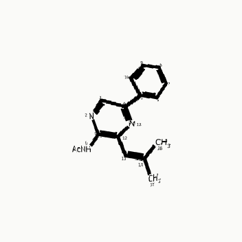 CC(=O)Nc1ncc(-c2ccccc2)nc1C=C(C)C